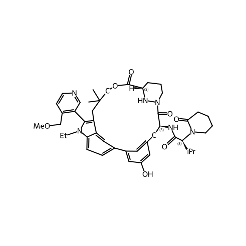 CCn1c(-c2cnccc2COC)c2c3cc(ccc31)-c1cc(O)cc(c1)C[C@H](NC(=O)[C@H](C(C)C)N1CCCCC1=O)C(=O)N1CCC[C@H](N1)C(=O)OCC(C)(C)C2